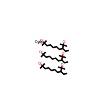 CCC(CCCCCC(C)(C)[O-])C(C)(C)[O-].CCC(CCCCCC(C)(C)[O-])C(C)(C)[O-].CCC(CCCCCC(C)(C)[O-])C(C)(C)[O-].[Dy+3].[Dy+3]